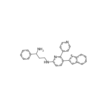 NC(CCNc1ccc(-c2cc3ccccc3s2)c(-c2ccncc2)n1)c1ccccc1